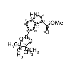 COC(=O)c1c[nH]c2ccc(B3OC(C)(C)C(C)(C)O3)cc12